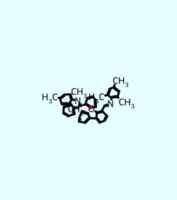 Cc1cc(C)c(N=P(c2ccccc2)(c2ccccc2)c2cccc3c2oc2c(/C=N/c4c(C)cc(C)cc4C)cccc23)c(C)c1